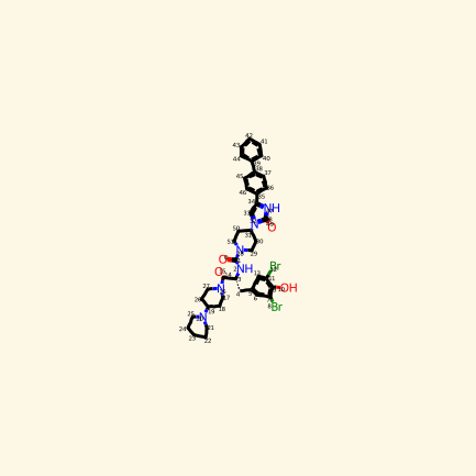 O=C(N[C@H](Cc1cc(Br)c(O)c(Br)c1)C(=O)N1CCC(N2CCCCC2)CC1)N1CCC(n2cc(-c3ccc(-c4ccccc4)cc3)[nH]c2=O)CC1